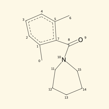 Cc1cccc(C)c1C(=O)N1CCCCC1